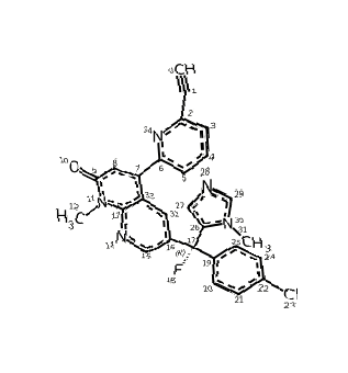 C#Cc1cccc(-c2cc(=O)n(C)c3ncc([C@](F)(c4ccc(Cl)cc4)c4cncn4C)cc23)n1